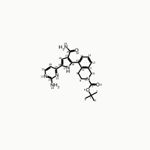 CC(C)(C)OC(=O)N1CCc2c(cccc2-c2[nH]c(-c3ccnc(N)n3)cc2C(N)=O)C1